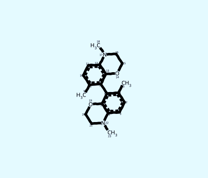 Cc1ccc2c(c1-c1c(C)ccc3c1OCCN3C)OCCN2C